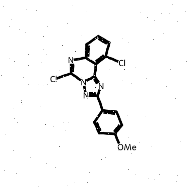 COc1ccc(-c2nc3c4c(Cl)cccc4nc(Cl)n3n2)cc1